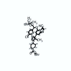 Cc1c(-c2cc(OC(CO[Si](C)(C)C(C)(C)C)c3ccc(Cl)cn3)n3c(C#N)cnc3c2)nnn1C1CCN(C(=O)OC(C)(C)C)CC1